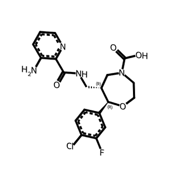 Nc1cccnc1C(=O)NC[C@@H]1CN(C(=O)O)CCO[C@H]1c1ccc(Cl)c(F)c1